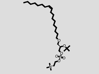 CCCCCCC/C=C\CCCCCCCCCOC[C@H](COP(=O)([O-])OCC[N+](C)(C)C)OC(C)(C)C